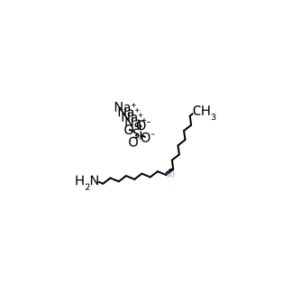 CCCCCCCC/C=C\CCCCCCCCN.[Na+].[Na+].[Na+].[Na+].[O-][Si]([O-])([O-])[O-]